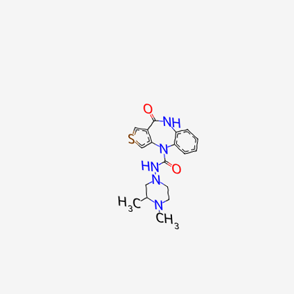 CC1CN(NC(=O)N2c3ccccc3NC(=O)c3cscc32)CCN1C